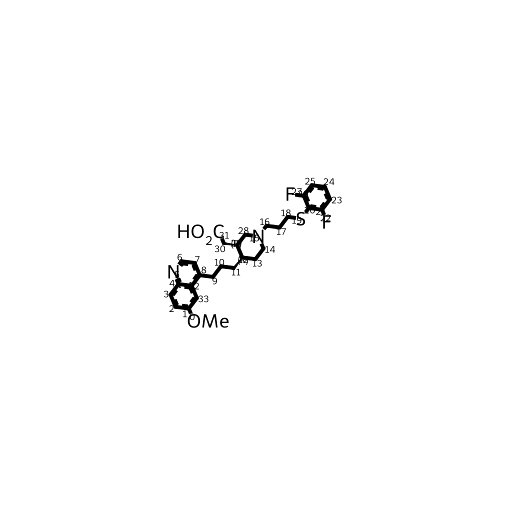 COc1ccc2nccc(CCC[C@@H]3CCN(CCCSc4c(F)cccc4F)C[C@@H]3CC(=O)O)c2c1